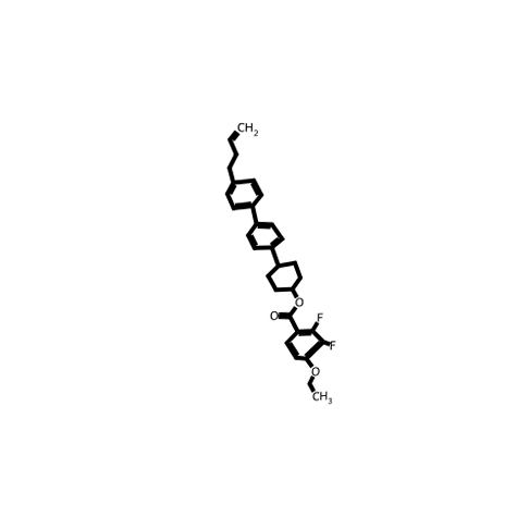 C=CCCc1ccc(-c2ccc(C3CCC(OC(=O)c4ccc(OCC)c(F)c4F)CC3)cc2)cc1